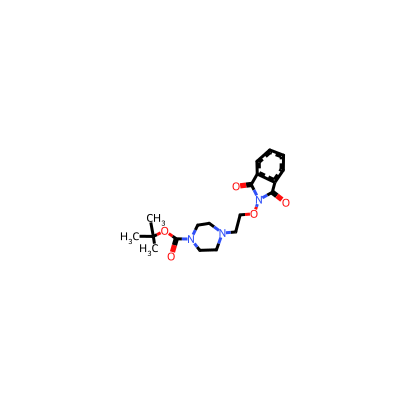 CC(C)(C)OC(=O)N1CCN(CCON2C(=O)c3ccccc3C2=O)CC1